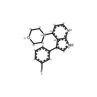 Fc1cccc(-c2c[nH]c3nccc(N4CCOCC4)c23)c1